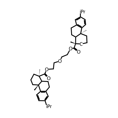 CC(C)c1ccc2c(c1)CCC1[C@](C)(C(=O)OCCOCCOC(=O)[C@@]3(C)CCC[C@]4(C)c5ccc(C(C)C)cc5CCC34)CCC[C@@]21C